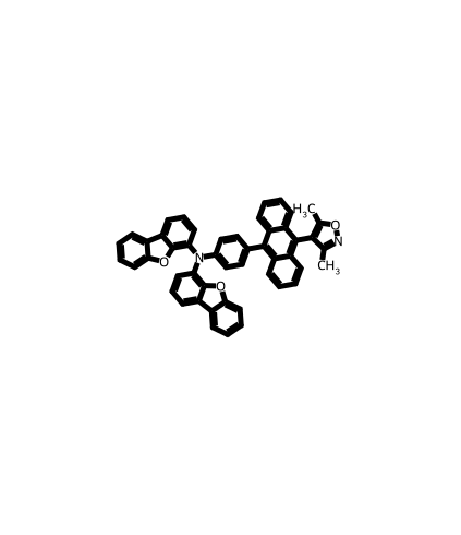 Cc1noc(C)c1-c1c2ccccc2c(-c2ccc(N(c3cccc4c3oc3ccccc34)c3cccc4c3oc3ccccc34)cc2)c2ccccc12